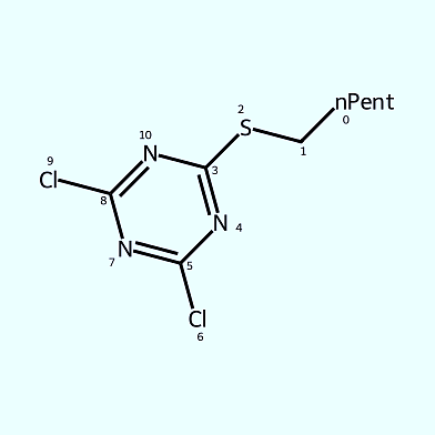 CCCCCCSc1nc(Cl)nc(Cl)n1